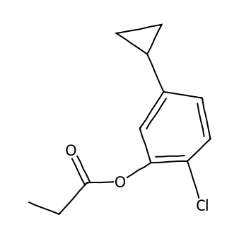 CCC(=O)Oc1cc(C2CC2)ccc1Cl